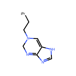 CC(C)CCN1C=c2[nH]cnc2=NC1